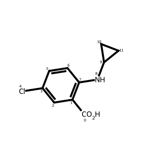 O=C(O)c1cc(Cl)ccc1NC1CC1